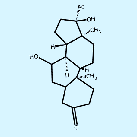 CC(=O)[C@@]1(O)CC[C@H]2[C@@H]3C(O)CC4CC(=O)CC[C@]4(C)[C@H]3CC[C@@]21C